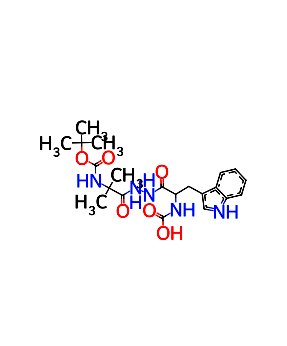 CC(C)(C)OC(=O)NC(C)(C)C(=O)NNC(=O)C(Cc1c[nH]c2ccccc12)NC(=O)O